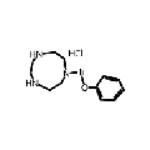 Cl.c1ccc([O][Ti][N]2CCNCCNCC2)cc1